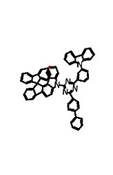 c1ccc(-c2ccc(-c3nc(-c4cccc(-n5c6ccccc6c6ccccc65)c4)nc(-n4c5ccccc5c5c6c(ccc54)-c4ccccc4C64c5ccccc5-c5ccccc54)n3)cc2)cc1